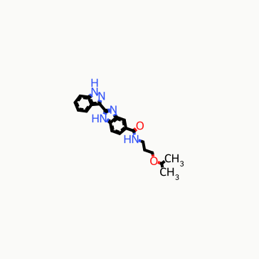 CC(C)OCCCNC(=O)c1ccc2[nH]c(-c3n[nH]c4ccccc34)nc2c1